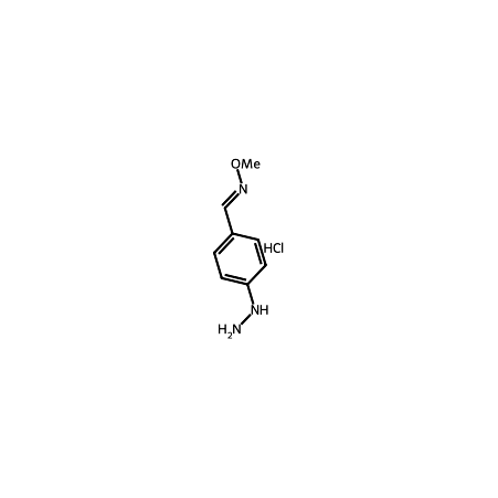 CON=Cc1ccc(NN)cc1.Cl